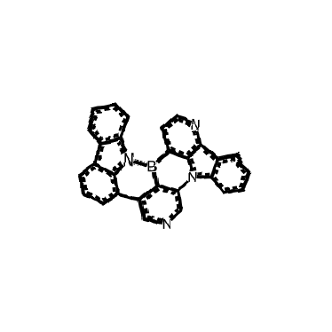 c1ccc2c(c1)c1cccc3c1n2B1c2c-3cncc2-n2c3ccccc3c3nccc1c32